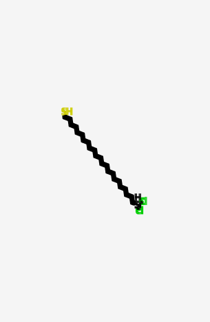 SCCCCCCCCCCCCCCCCCCCCCCC[SiH](Cl)Cl